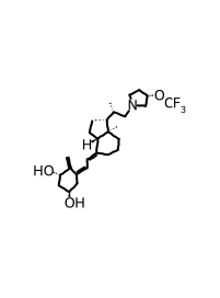 C=C1/C(=C\C=C2/CCC[C@]3(C)[C@@H]([C@H](C)CN4CC[C@H](OC(F)(F)F)C4)CC[C@@H]23)C[C@@H](O)C[C@@H]1O